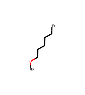 CC(C)CCCCCOC(C)(C)C